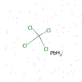 ClC(Cl)(Cl)Cl.[PbH2]